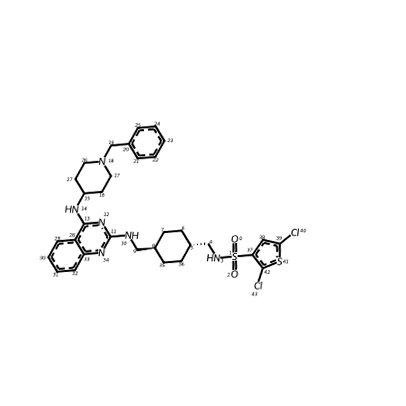 O=S(=O)(NC[C@H]1CC[C@H](CNc2nc(NC3CCN(Cc4ccccc4)CC3)c3ccccc3n2)CC1)c1cc(Cl)sc1Cl